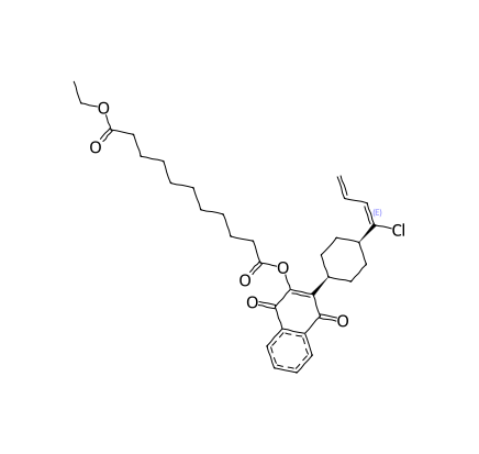 C=C/C=C(/Cl)[C@H]1CC[C@@H](C2=C(OC(=O)CCCCCCCCCC(=O)OCC)C(=O)c3ccccc3C2=O)CC1